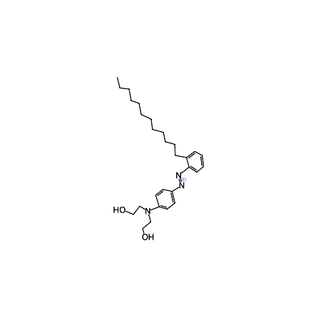 CCCCCCCCCCCCc1ccccc1/N=N/c1ccc(N(CCO)CCO)cc1